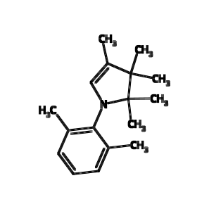 CC1=CN(c2c(C)cccc2C)C(C)(C)C1(C)C